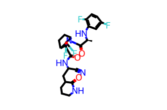 C[C@H](Nc1cc(F)ccc1F)C(=O)N1C2CCC(C1C(=O)NC(C#N)CC1CCCNC1=O)C(F)(F)C2